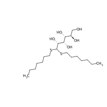 CCCCCCCSC(SCCCCCCC)[C@H](O)[C@@H](O)[C@H](O)[C@H](O)CO